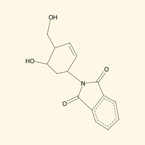 O=C1c2ccccc2C(=O)N1C1C=CC(CO)C(O)C1